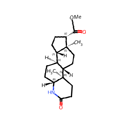 COC(=O)[C@H]1CC[C@H]2[C@@H]3CC[C@H]4NC(=O)CC[C@]4(C)[C@H]3CC[C@]12C